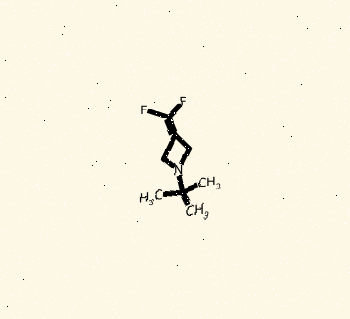 CC(C)(C)N1CC(=C(F)F)C1